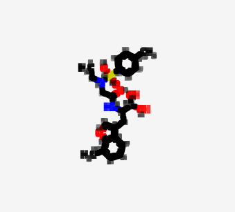 CCN(CC(=O)NC(Cc1coc2c(C)cccc12)B(O)O)S(=O)(=O)c1ccc(C)cc1